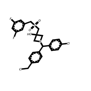 O=S(=O)(Cc1cc(F)cc(F)c1)CC1(O)CN(C(c2ccc(Cl)cc2)c2ccc(CCl)cc2)C1